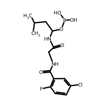 CC(C)CC(NC(=O)CNC(=O)c1cc(Cl)ccc1F)OB(O)O